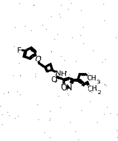 C=C/C=C(\C=C/C)c1cc(C(=O)NC2CC(COc3ccc(F)cc3)C2)on1